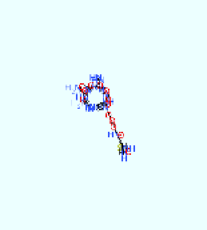 CC(C)C[C@@H]1NC(=O)[C@H](CCCC(N)=O)NC(=O)[C@@H](N)Cc2cn(nn2)CCCC[C@@H](C(=O)NCCCOCCOCCOCCCNC(=O)CCCCC2SC[C@H]3NC(=O)N[C@@H]23)NC(=O)C2CCCN2C(=O)CNC(=O)[C@H](CCc2c[nH]cn2)NC1=O